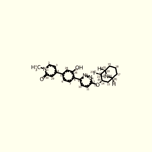 Cn1ccc(-c2ccc(-c3ccc(O[C@@H]4C[C@H]5CCC[C@H](N5)[C@@H]4F)nn3)c(O)c2)cc1=O